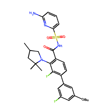 CC(C)COc1cc(F)cc(-c2ccc(C(=O)NS(=O)(=O)c3cccc(N)n3)c(N3CC(C)CC3(C)C)c2F)c1